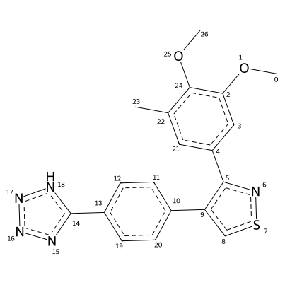 COc1cc(-c2nscc2-c2ccc(-c3nnn[nH]3)cc2)cc(C)c1OC